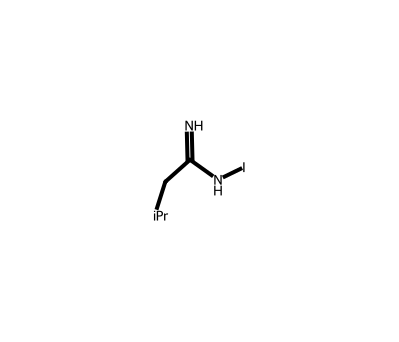 CC(C)CC(=N)NI